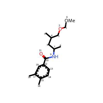 COCOCC(C)CC(C)NC(=O)c1ccc(C)c(C)c1